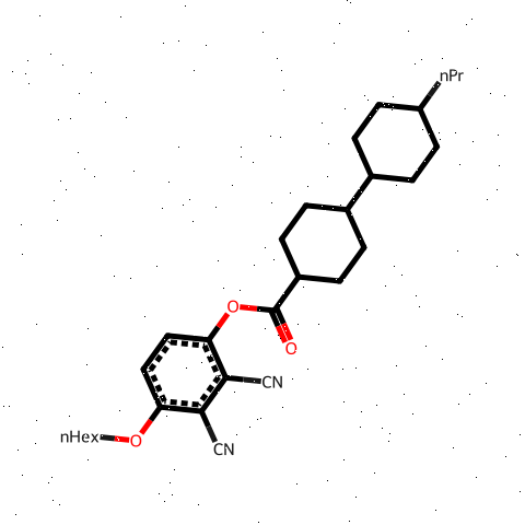 CCCCCCOc1ccc(OC(=O)C2CCC(C3CCC(CCC)CC3)CC2)c(C#N)c1C#N